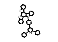 c1ccc(-c2cc(-c3ccc(-n4c5ccccc5c5c6c7ccccc7oc6c6oc7ccccc7c6c54)cc3)cc(-c3ccccc3)n2)cc1